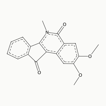 COc1cc2c3c(n(C)c(=O)c2cc1OC)-c1ccccc1C3=O